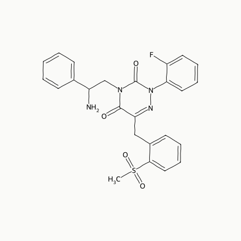 CS(=O)(=O)c1ccccc1Cc1nn(-c2ccccc2F)c(=O)n(CC(N)c2ccccc2)c1=O